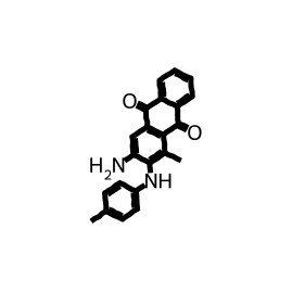 Cc1ccc(Nc2c(N)cc3c(c2C)C(=O)c2ccccc2C3=O)cc1